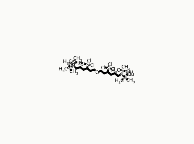 CC(C)(C)[Si](C)(C)N(CCCC(CCOCCC(CCCN([Si](C)(C)C(C)(C)C)[Si](C)(C)C(C)(C)C)[Si](Cl)(Cl)Cl)[Si](Cl)(Cl)Cl)[Si](C)(C)C(C)(C)C